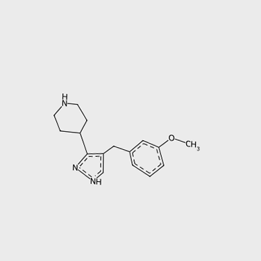 COc1cccc(Cc2c[nH]nc2C2CCNCC2)c1